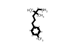 CC(C)(CN)CCCc1ccc(C(F)(F)F)cc1